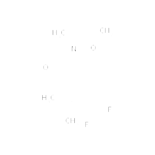 CON(C)C(=O)C1CC(F)(F)C1(C)C